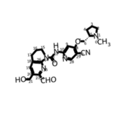 CN1CCC[C@H]1COc1cc(NC(=O)N2CCCc3cc(CO)c(C=O)nc32)ncc1C#N